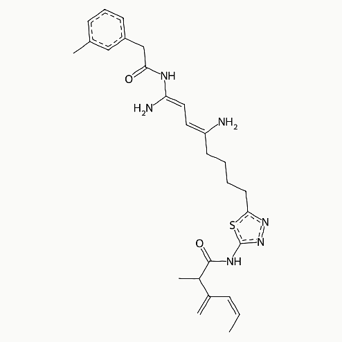 C=C(/C=C\C)C(C)C(=O)Nc1nnc(CCCC/C(N)=C/C=C(\N)NC(=O)Cc2cccc(C)c2)s1